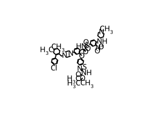 CN1CCC(Nc2ccc(S(=O)(=O)NC(=O)c3ccc(N4CCN(CC5=C(c6ccc(Cl)cc6)CC(C)(C)CC5)CC4)cc3Oc3ccc4nc(NC(=O)OC(C)(C)C)sc4c3)cc2[N+](=O)[O-])CC1